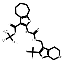 CC(C)(C)OC(=O)c1c(NC(=O)NCc2c(C(F)(F)I)sc3c2CCNC3)sc2c1CCCCC2